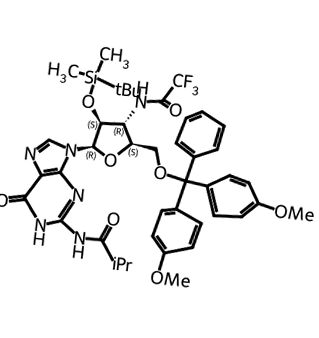 COc1ccc(C(OC[C@H]2O[C@@H](n3cnc4c(=O)[nH]c(NC(=O)C(C)C)nc43)[C@@H](O[Si](C)(C)C(C)(C)C)[C@@H]2NC(=O)C(F)(F)F)(c2ccccc2)c2ccc(OC)cc2)cc1